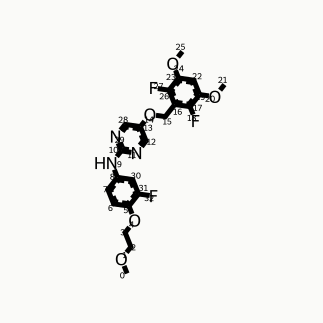 COCCOc1ccc(Nc2ncc(OCc3c(F)c(OC)cc(OC)c3F)cn2)cc1F